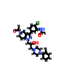 CC(=O)Nc1cc(-c2nn(CC(O)CN3CCN(c4ccccc4C)CC3)c3c2CN(C(C)=O)CC3)ccc1Cl